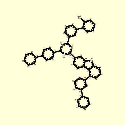 N#Cc1ccccc1-c1cccc(-c2nc(-c3ccc(-c4ccccc4)cc3)nc(-c3ccc4c(c3)oc3cccc(-c5cccc(-c6ccccc6)c5)c34)n2)c1